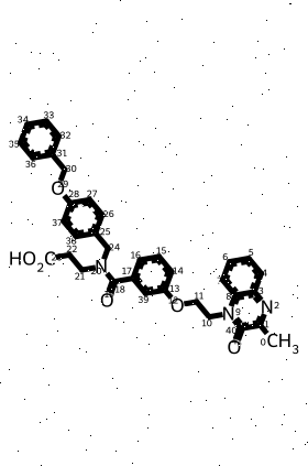 Cc1nc2ccccc2n(CCOc2cccc(C(=O)N(CCC(=O)O)Cc3ccc(OCc4ccccc4)cc3)c2)c1=O